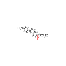 CCOC(=O)CC1(O)CCc2cc(-c3ccc([N+](=O)[O-])cc3)ccc2C1